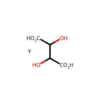 O=C(O)C(O)C(O)C(=O)O.[Y]